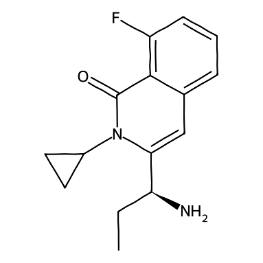 CC[C@H](N)c1cc2cccc(F)c2c(=O)n1C1CC1